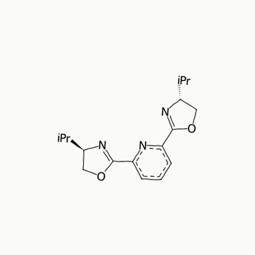 CC(C)[C@@H]1COC(c2cccc(C3=N[C@H](C(C)C)CO3)n2)=N1